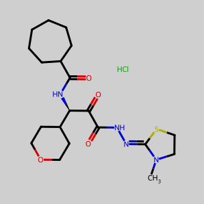 CN1CCSC1=NNC(=O)C(=O)[C@H](NC(=O)C1CCCCCC1)C1CCOCC1.Cl